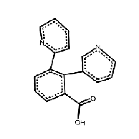 O=C(O)c1cccc(-c2ccccn2)c1-c1cccnc1